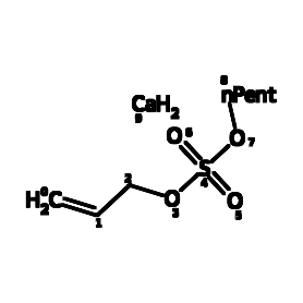 C=CCOS(=O)(=O)OCCCCC.[CaH2]